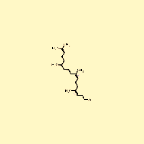 CC(=O)CC/C=C(/C)CC/C=C(/C)CCCC(C)CCC=C(C)C